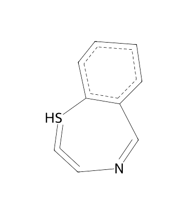 C1=CN=Cc2ccccc2[SH]=1